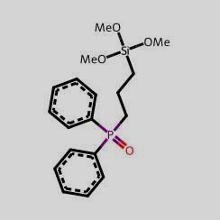 CO[Si](CCCP(=O)(c1ccccc1)c1ccccc1)(OC)OC